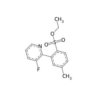 CCOS(=O)(=O)c1ccc(C)cc1-c1ncccc1F